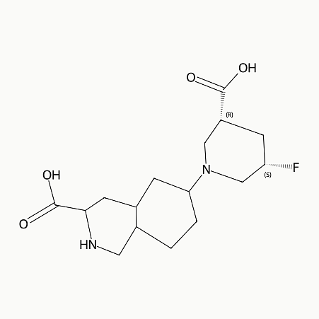 O=C(O)C1CC2CC(N3C[C@@H](F)C[C@@H](C(=O)O)C3)CCC2CN1